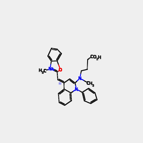 CN(CCCC(=O)O)C1=C/C(=C\c2oc3ccccc3[n+]2C)c2ccccc2N1c1ccccc1